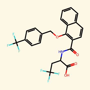 O=C(NC(CC(F)(F)F)C(=O)O)c1ccc2ccccc2c1OCc1ccc(C(F)(F)F)cc1